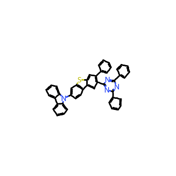 c1ccc(-c2nc(-c3ccccc3)nc(-c3cc4c(cc3-c3ccccc3)sc3cc(-n5c6ccccc6c6ccccc65)ccc34)n2)cc1